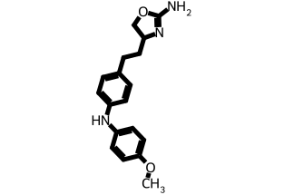 COc1ccc(Nc2ccc(CCC3COC(N)=N3)cc2)cc1